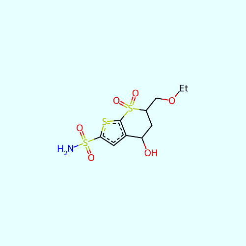 CCOCC1CC(O)c2cc(S(N)(=O)=O)sc2S1(=O)=O